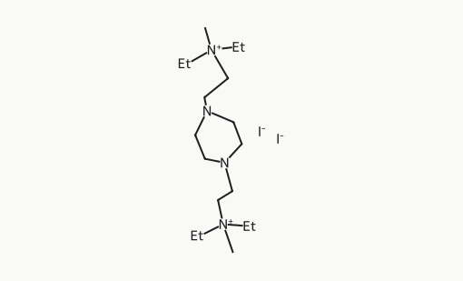 CC[N+](C)(CC)CCN1CCN(CC[N+](C)(CC)CC)CC1.[I-].[I-]